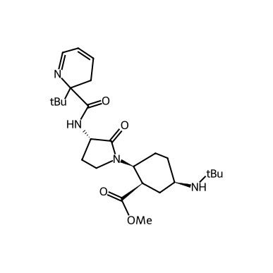 COC(=O)[C@@H]1C[C@H](NC(C)(C)C)CC[C@@H]1N1CC[C@H](NC(=O)C2(C(C)(C)C)CC=CC=N2)C1=O